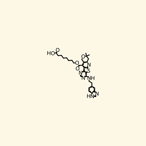 CC1(C)Cc2nc3sc4c(NCCc5ccc6[nH]cnc6c5)ncnc4c3c(C(=O)OCCCCCCCC(=O)O)c2CO1